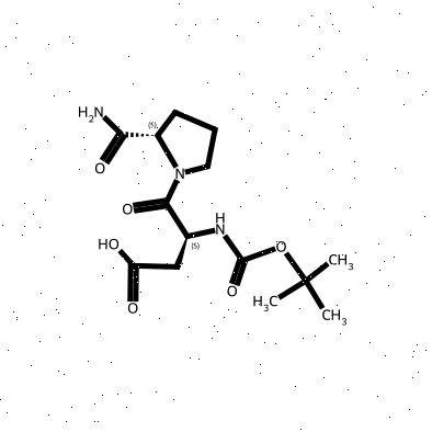 CC(C)(C)OC(=O)N[C@@H](CC(=O)O)C(=O)N1CCC[C@H]1C(N)=O